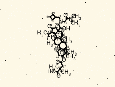 CC(C)C1=C2[C@H]3CC[C@@H]4[C@@]5(C)CC[C@H](OC(=O)CC(C)(C)C(=O)O)C(C)(C)[C@@H]5CC[C@@]4(C)[C@]3(C)CCC2(C(O)CN(CC(=O)N(C)C)CC2CCC2)CC1=O